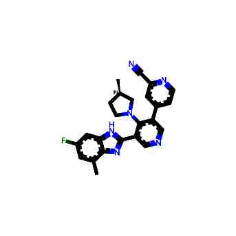 Cc1cc(F)cc2[nH]c(-c3cncc(-c4ccnc(C#N)c4)c3N3CC[C@@H](C)C3)nc12